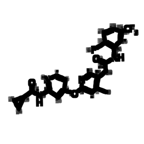 Cc1cc(Oc2ccnc(NC(=O)C3CC3)c2)ncc1CC(=O)Nc1cc(C(F)(F)F)ccc1F